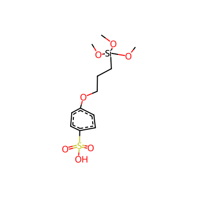 CO[Si](CCCOc1ccc(S(=O)(=O)O)cc1)(OC)OC